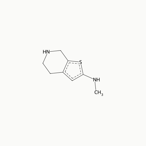 CNc1cc2c(s1)CNCC2